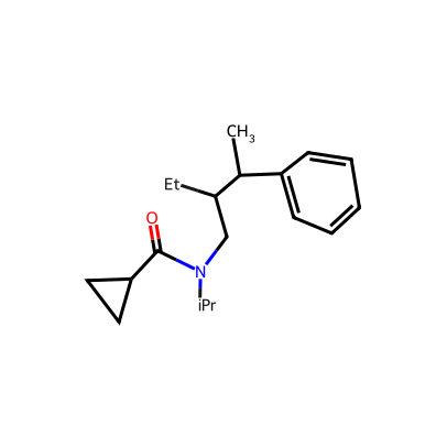 CCC(CN(C(=O)C1CC1)C(C)C)C(C)c1ccccc1